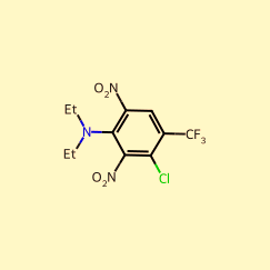 CCN(CC)c1c([N+](=O)[O-])cc(C(F)(F)F)c(Cl)c1[N+](=O)[O-]